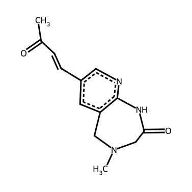 CC(=O)/C=C/c1cnc2c(c1)CN(C)CC(=O)N2